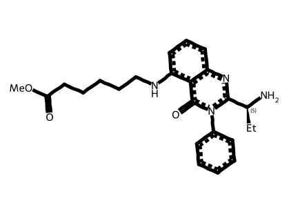 CC[C@H](N)c1nc2cccc(NCCCCCC(=O)OC)c2c(=O)n1-c1ccccc1